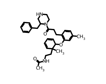 CC(=O)NCCC1(C)C=CC=CC1Oc1cc(C)ccc1CCC(=O)N1CCNCC1Cc1ccccc1